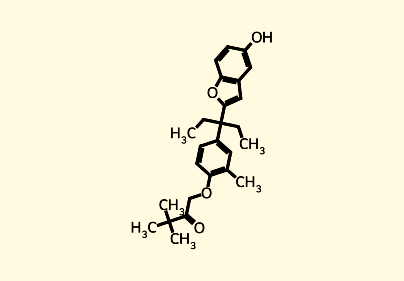 CCC(CC)(c1ccc(OCC(=O)C(C)(C)C)c(C)c1)c1cc2cc(O)ccc2o1